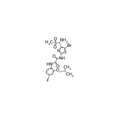 CC(C)COc1cc(F)ccc1NC(=O)C(=O)Nc1nc(C(N)S(C)(=O)=O)c(Br)s1